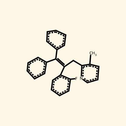 Cc1cccnc1CC(=C(c1ccccc1)c1ccccc1)c1ccccc1F